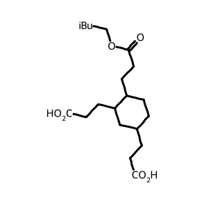 CCC(C)COC(=O)CCC1CCC(CCC(=O)O)CC1CCC(=O)O